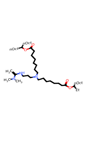 C=C(NCCCN(CCCCCCCC(=O)OC(CC)CCCCCCCC)CCCCCCCC(=O)OC(CCCCCCCC)CCCCCCCC)N(C)C